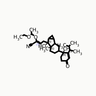 CCOC(C)O/C(C#N)=C\C[C@]1(O)C2CC2C2CC([C@@]3(C)CCC(=O)C=C3C(C)C(C)C)CC[C@@]21C